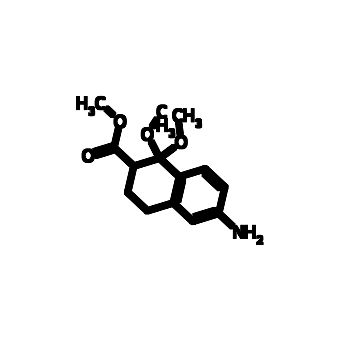 COC(=O)C1CCc2cc(N)ccc2C1(OC)OC